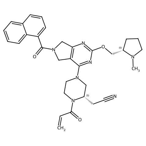 C=CC(=O)N1CCN(c2nc(OC[C@@H]3CCCN3C)nc3c2CN(C(=O)c2cccc4ccccc24)C3)C[C@@H]1CC#N